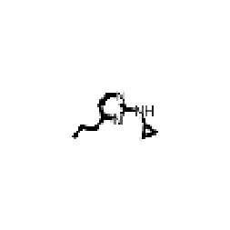 CCCc1ccnc(NC2CC2)n1